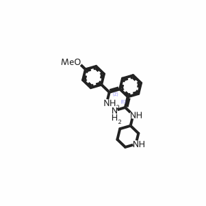 COc1ccc(/C(N)=c2\cccc\c2=C(\N)NC2CCCNC2)cc1